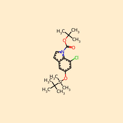 CC(C)(C)OC(=O)n1ccc2cc(O[Si](C)(C)C(C)(C)C)cc(Cl)c21